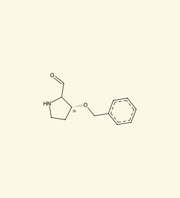 O=CC1NCC[C@H]1OCc1ccccc1